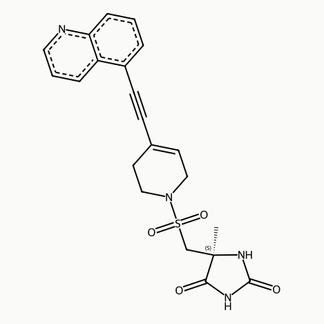 C[C@]1(CS(=O)(=O)N2CC=C(C#Cc3cccc4ncccc34)CC2)NC(=O)NC1=O